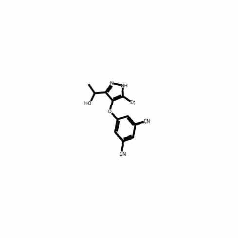 CCc1[nH]nc(C(C)O)c1Oc1cc(C#N)cc(C#N)c1